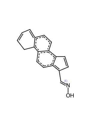 O/N=C/C1=c2ccc3c4c(ccc3c2C=C1)=CC=CC4